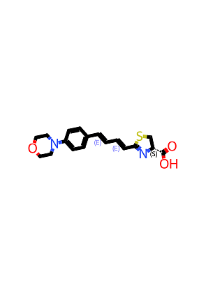 O=C(O)[C@H]1CSC(/C=C/C=C/c2ccc(N3CCOCC3)cc2)=N1